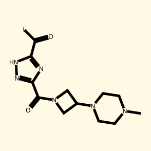 CN1CCN(C2CN(C(=O)c3n[nH]c(C(=O)I)n3)C2)CC1